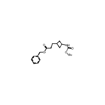 CC(C)(C)OC(=O)NC1CC(CCC(=O)OCc2ccccc2)C1